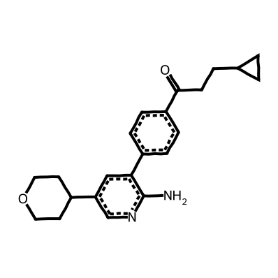 Nc1ncc(C2CCOCC2)cc1-c1ccc(C(=O)CCC2CC2)cc1